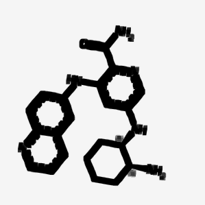 NC(=O)c1ncc(N[C@@H]2CCCC[C@@H]2N)cc1Nc1ccc2ncccc2c1